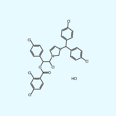 Cl.O=C(OC(c1ccc(Cl)cc1)C(Cl)N1C=CN(C(c2ccc(Cl)cc2)c2ccc(Cl)cc2)C1)c1ccc(Cl)cc1Cl